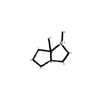 CN1CCC2CCCC21C